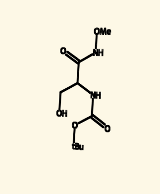 CONC(=O)C(CO)NC(=O)OC(C)(C)C